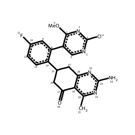 COc1nc(Cl)ncc1-c1cc(F)ccc1C1CC(=O)c2c(C)nc(N)nc2C1